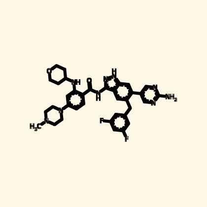 CN1CCN(c2ccc(C(=O)Nc3n[nH]c4cc(-c5cnc(N)nc5)c(Cc5cc(F)cc(F)c5)cc34)c(NC3CCOCC3)c2)CC1